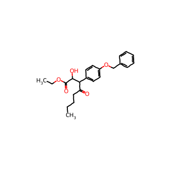 CCCCC(=O)C(c1ccc(OCc2ccccc2)cc1)C(O)C(=O)OCC